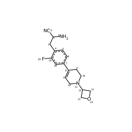 N#CC(N)Cc1ccc(C2=CCN(C3COC3)CC2)cc1F